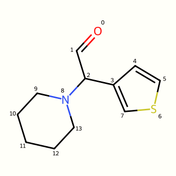 O=CC(c1ccsc1)N1CCCCC1